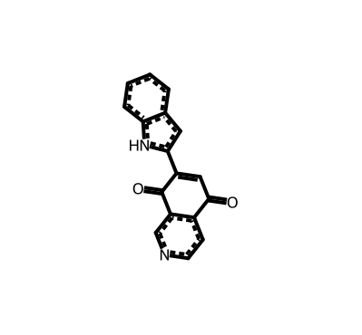 O=C1C=C(c2cc3ccccc3[nH]2)C(=O)c2cnccc21